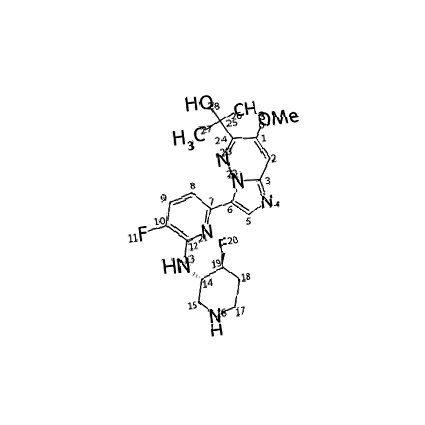 COc1cc2ncc(-c3ccc(F)c(N[C@H]4CNCC[C@@H]4F)n3)n2nc1C(C)(C)O